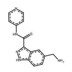 NCc1ccc2[nH]nc(C(=O)Nc3ccncc3)c2c1